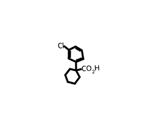 O=C(O)C1(c2cccc(Cl)c2)CCCCC1